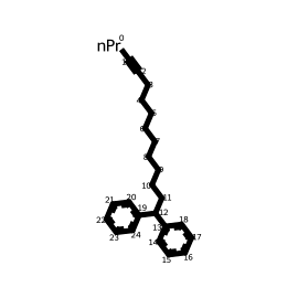 CCCC#CCCCCCCCCCC(c1ccccc1)c1ccccc1